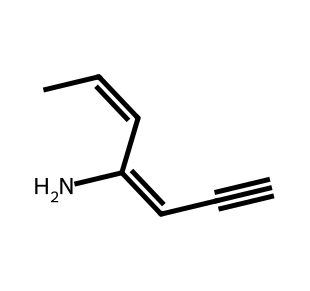 C#C/C=C(N)\C=C/C